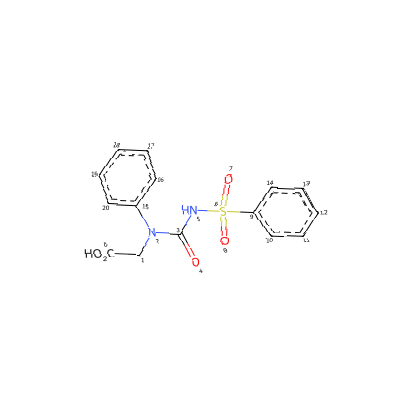 O=C(O)CN(C(=O)NS(=O)(=O)c1ccccc1)c1ccccc1